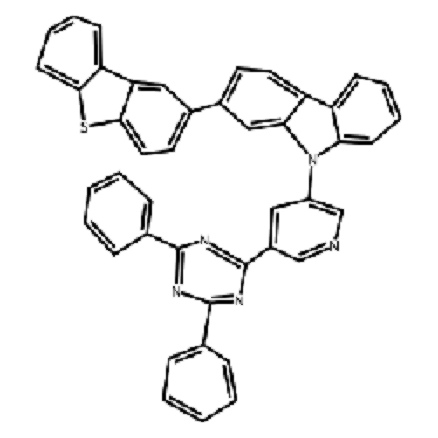 c1ccc(-c2nc(-c3ccccc3)nc(-c3cncc(-n4c5ccccc5c5ccc(-c6ccc7sc8ccccc8c7c6)cc54)c3)n2)cc1